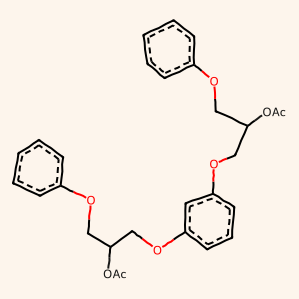 CC(=O)OC(COc1ccccc1)COc1cccc(OCC(COc2ccccc2)OC(C)=O)c1